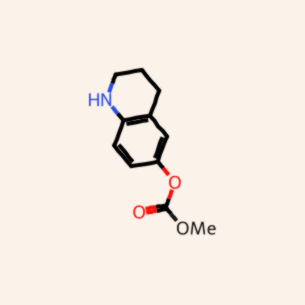 COC(=O)Oc1ccc2c(c1)CCCN2